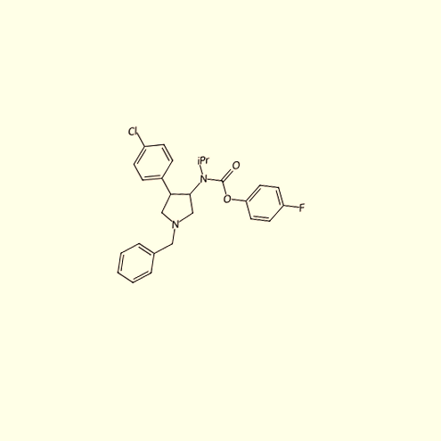 CC(C)N(C(=O)Oc1ccc(F)cc1)C1CN(Cc2ccccc2)CC1c1ccc(Cl)cc1